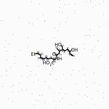 C=C/C(O)=C\C=C(/CO)C(C)CC(=O)N[C@H](C/C=C/C=C\C=C/CC)C(=O)O